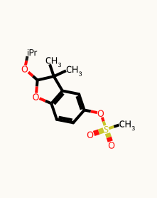 CC(C)OC1Oc2ccc(OS(C)(=O)=O)cc2C1(C)C